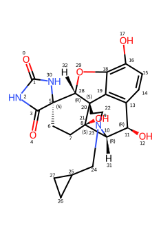 O=C1NC(=O)[C@@]2(CC[C@@]3(O)[C@H]4[C@H](O)c5ccc(O)c6c5[C@@]3(CCN4CC3CC3)[C@H]2O6)N1